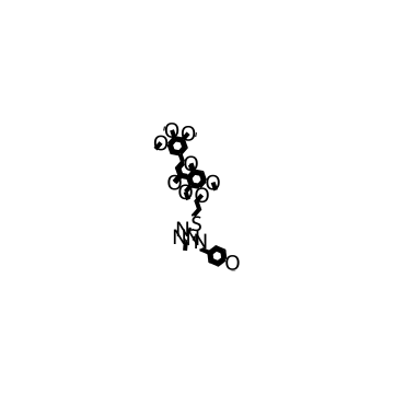 COc1ccc(C=Nn2c(C)nnc2SCCCOc2c(OC)cc3oc(-c4cc(OC)c(OC)c(OC)c4)cc(=O)c3c2OC)cc1